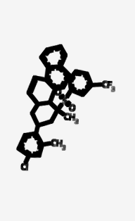 Cc1cc(Cl)ccc1C1CC2C=Cc3c(ccc4ccccc34)C2C(C)(S(=O)(=O)c2cccc(C(F)(F)F)c2)C1